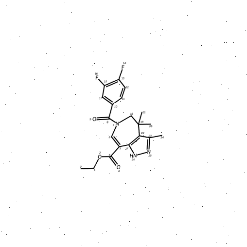 CCOC(=O)C1=CN(C(=O)c2ccc(F)c(F)c2)CC(C)(C)c2c(C)n[nH]c21